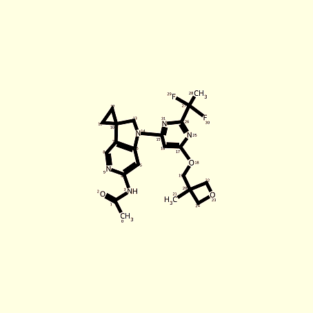 CC(=O)Nc1cc2c(cn1)C1(CC1)CN2c1cc(OCC2(C)COC2)nc(C(C)(F)F)n1